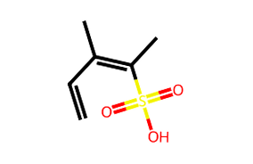 C=CC(C)=C(C)S(=O)(=O)O